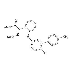 CNC(=O)C(=NOC)c1ccccc1Oc1ccc(F)c(-c2ccc(C)cc2)c1